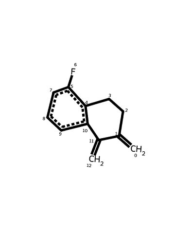 C=C1CCc2c(F)cccc2C1=C